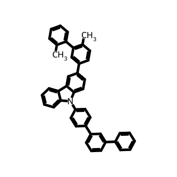 Cc1ccccc1-c1cc(-c2ccc3c(c2)c2ccccc2n3-c2ccc(-c3cccc(-c4ccccc4)c3)cc2)ccc1C